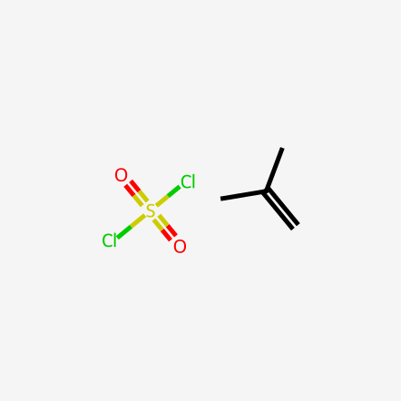 C=C(C)C.O=S(=O)(Cl)Cl